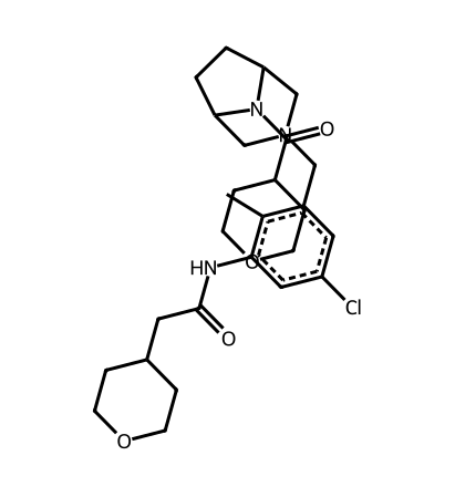 Cc1c(CN2CC3CCC(C2)N3C(=O)C2CCOCC2)cc(Cl)cc1NC(=O)CC1CCOCC1